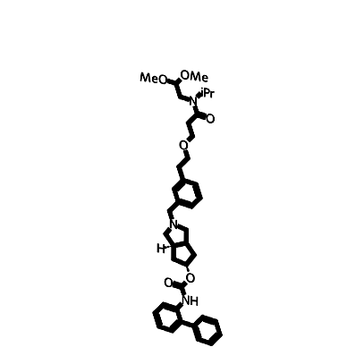 COC(CN(C(=O)CCOCCc1cccc(CN2CC3C[C@H](OC(=O)Nc4ccccc4-c4ccccc4)C[C@H]3C2)c1)C(C)C)OC